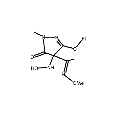 CCOC1=NN(C)C(=O)C1(NO)/C(C)=N/OC